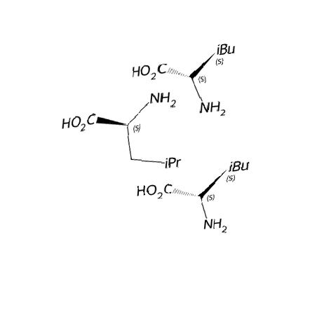 CC(C)C[C@H](N)C(=O)O.CC[C@H](C)[C@H](N)C(=O)O.CC[C@H](C)[C@H](N)C(=O)O